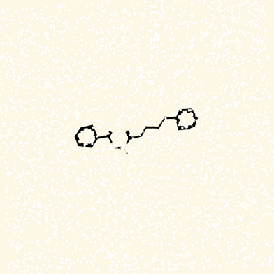 CC(C)(C)N(NC(=O)c1ccccc1)C(=O)CCCCc1ccccc1